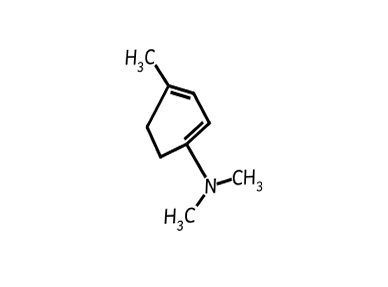 CC1=CC=C(N(C)C)CC1